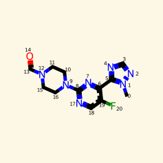 Cn1ncnc1-c1nc(N2CCN(C=O)CC2)ncc1F